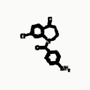 Nc1ccc(C(=O)N2CCCC(=O)c3ccc(Cl)cc32)cc1